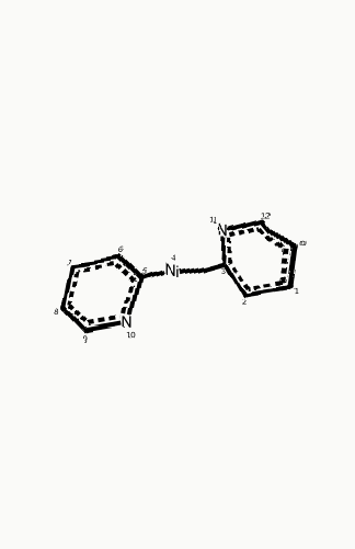 c1cc[c]([Ni][c]2ccccn2)nc1